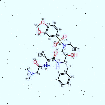 CC(C)CN(C[C@@H](O)[C@H](Cc1ccccc1)NC(=O)[C@@H](NC(=O)CN(C)C)C(C)(C)C)S(=O)(=O)c1ccc2c(c1)OCO2